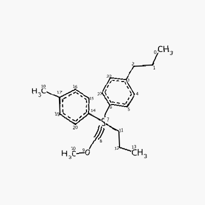 CCCc1ccc(S(#COC)(CCC)c2ccc(C)cc2)cc1